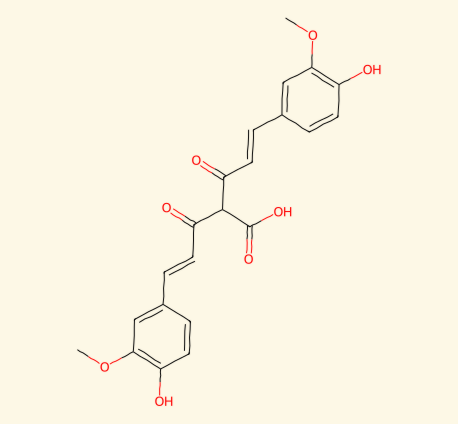 COc1cc(/C=C/C(=O)C(C(=O)O)C(=O)/C=C/c2ccc(O)c(OC)c2)ccc1O